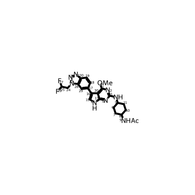 COc1nc(NC2CCC(NC(C)=O)CC2)nc2[nH]cc(-c3ccc4nnn(CC(F)F)c4c3)c12